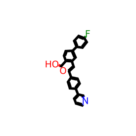 O=C(O)c1ccc(-c2ccc(F)cc2)cc1C=Cc1ccc(-c2cccnc2)cc1